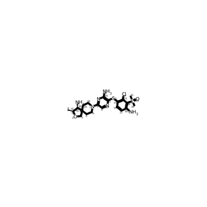 C[C@@H]1OCC2(CCN(c3cnc(Sc4ccc(N)c(P(C)(C)=O)c4Cl)c(N)n3)CC2)[C@@H]1N